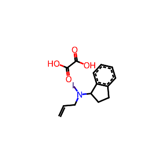 C=CCN(I)C1CCc2ccccc21.O=C(O)C(=O)O